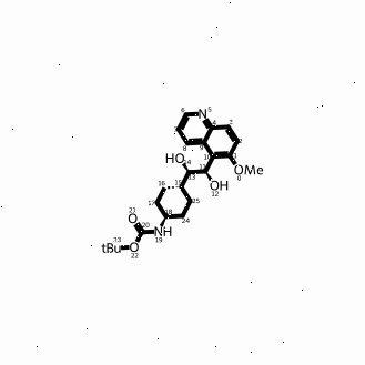 COc1ccc2ncccc2c1[C@@H](O)[C@H](O)[C@H]1CC[C@H](NC(=O)OC(C)(C)C)CC1